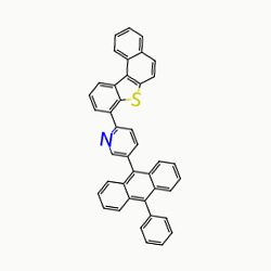 c1ccc(-c2c3ccccc3c(-c3ccc(-c4cccc5c4sc4ccc6ccccc6c45)nc3)c3ccccc23)cc1